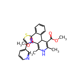 COC(=O)C1=C(C)NC(C)=C(C(=O)OC)C1c1ccccc1-c1nc(-c2cccnc2)cs1